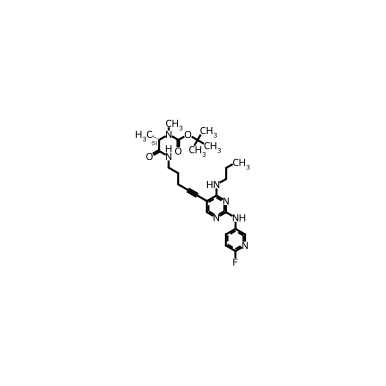 CCCNc1nc(Nc2ccc(F)nc2)ncc1C#CCCCNC(=O)[C@H](C)N(C)C(=O)OC(C)(C)C